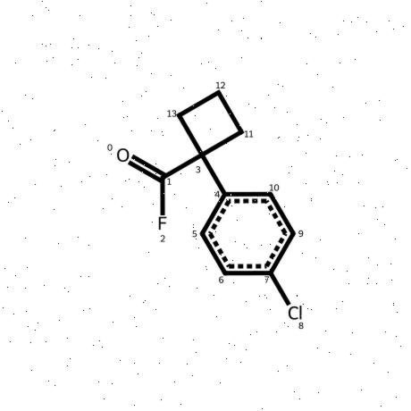 O=C(F)C1(c2ccc(Cl)cc2)CCC1